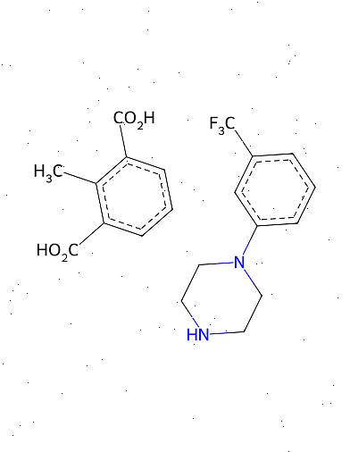 Cc1c(C(=O)O)cccc1C(=O)O.FC(F)(F)c1cccc(N2CCNCC2)c1